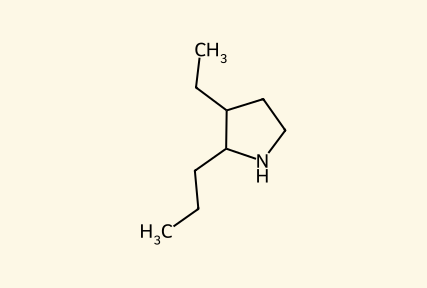 CCCC1NCCC1CC